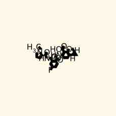 CCN1CCC[C@@H]1C(=O)NCc1cc(F)ccc1S(=O)(=O)Nc1ccc2c(c1C(=O)O)OC[C@@H]1C[C@H]21